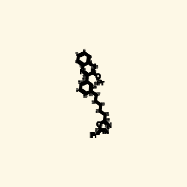 CC(C)Oc1nc2ccccc2nc1-c1cccc(CCCCCc2nnc(C(C)C)o2)c1